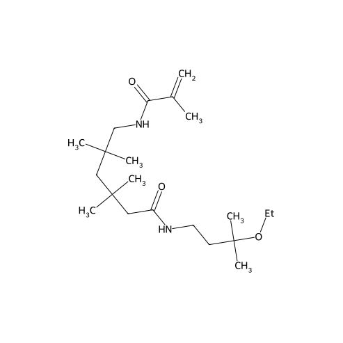 C=C(C)C(=O)NCC(C)(C)CC(C)(C)CC(=O)NCCC(C)(C)OCC